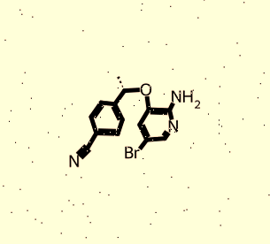 C[C@H](Oc1cc(Br)cnc1N)c1ccc(C#N)cc1